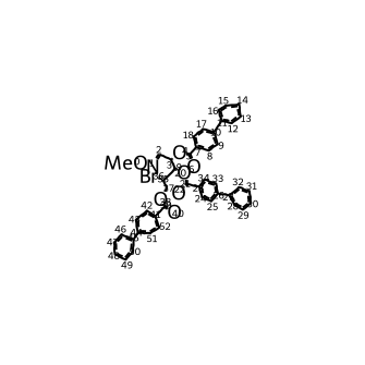 CO/N=C/[C@@H](OC(=O)c1ccc(-c2ccccc2)cc1)[C@@H](OC(=O)c1ccc(-c2ccccc2)cc1)[C@H](Br)COC(=O)c1ccc(-c2ccccc2)cc1